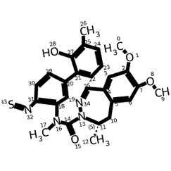 COc1cc2c(cc1OC)C[C@H](C)N(C(=O)N(C)c1cc(-c3cccc(C)c3O)ccc1N=S)N=C2